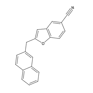 N#Cc1ccc2oc(Cc3ccc4ccccc4c3)cc2c1